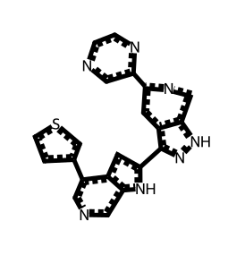 c1cnc(-c2cc3c(-c4cc5c(-c6ccsc6)cncc5[nH]4)n[nH]c3cn2)cn1